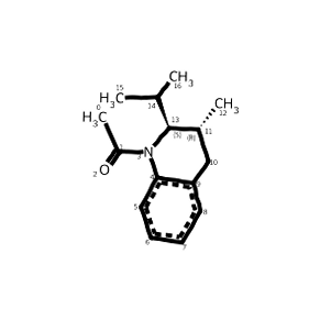 CC(=O)N1c2ccccc2C[C@@H](C)[C@@H]1C(C)C